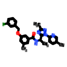 Cc1nc(C(C)NC(=O)c2cc(OCc3cccc(Cl)c3)cc(C(F)(F)F)c2)n(-c2ccc(C#N)cn2)n1